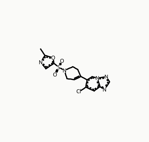 Cc1ncc(S(=O)(=O)N2CC=C(c3cn4ncnc4cc3Cl)CC2)o1